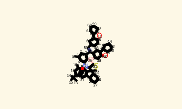 Cc1cc2c3c(c1)N(c1ccc(C(C)(C)C)cc1C)C1=C(SCC14c1ccccc1-c1ccccc14)B3c1cc3oc4ccccc4c3cc1/C2=C\c1ccc2oc3ccccc3c2c1